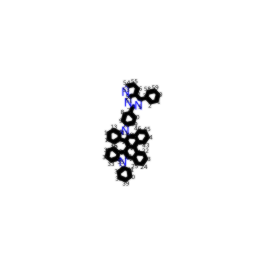 c1ccc(-c2nc(-c3ccc(-n4c5ccccc5c5c6c(c7ccccc7c7c6c6ccccc6n7-c6ccccc6)c6ccccc6c54)cc3)nc3ncccc23)cc1